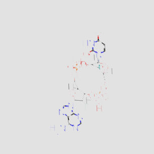 Nc1ncnc2c1ncn2[C@@H]1O[C@@H]2COP(=O)(O)O[C@@H]3[C@H](F)[C@@H](COP(=O)(O)O[C@H]2[C@H]1F)O[C@H]3n1ccc(=O)[nH]c1=O